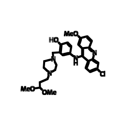 COc1ccc2nc3cc(Cl)ccc3c(Nc3ccc(O)c(CN4CCN(CCC(OC)OC)CC4)c3)c2c1